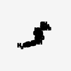 CC(C)C[C@H](CO)Nc1ccc(C(=O)c2sc(Nc3ccc(N4CCN(C)CC4)cc3)nc2N)cc1[N+](=O)[O-]